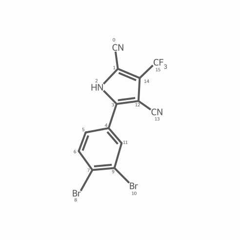 N#Cc1[nH]c(-c2ccc(Br)c(Br)c2)c(C#N)c1C(F)(F)F